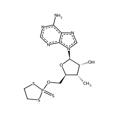 C[C@H]1[C@@H](O)[C@H](n2cnc3c(N)ncnc32)O[C@@H]1COP1(=S)SCCS1